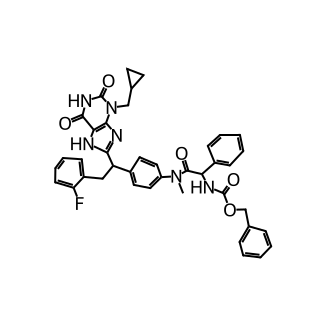 CN(C(=O)C(NC(=O)OCc1ccccc1)c1ccccc1)c1ccc(C(Cc2ccccc2F)c2nc3c([nH]2)c(=O)[nH]c(=O)n3CC2CC2)cc1